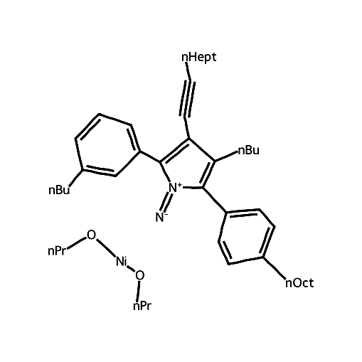 CCCCCCCC#CC1=C(c2cccc(CCCC)c2)[N+](=[N-])C(c2ccc(CCCCCCCC)cc2)=C1CCCC.CCC[O][Ni][O]CCC